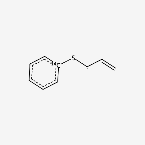 C=C[CH]S[14c]1ccccc1